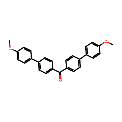 COc1ccc(-c2ccc(C(=O)c3ccc(-c4ccc(OC)cc4)cc3)cc2)cc1